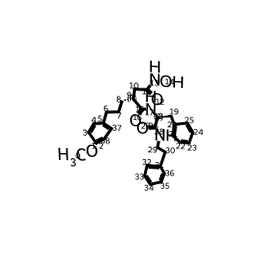 COc1ccc(CCC[C@H](CC(=O)NO)C(=O)N[C@@H](Cc2ccccc2)C(=O)NCCc2ccccc2)cc1